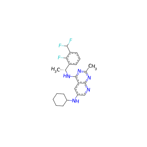 Cc1nc(N[C@H](C)c2cccc(C(F)F)c2F)c2cc(NC3CCCCC3)cnc2n1